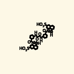 O=C(Nc1cccc(C(=O)Nc2cc(S(=O)(=O)O)cc3cccc(O)c23)c1)C(=O)Nc1cccc(C(=O)Nc2cc(S(=O)(=O)O)cc3cccc(O)c23)c1